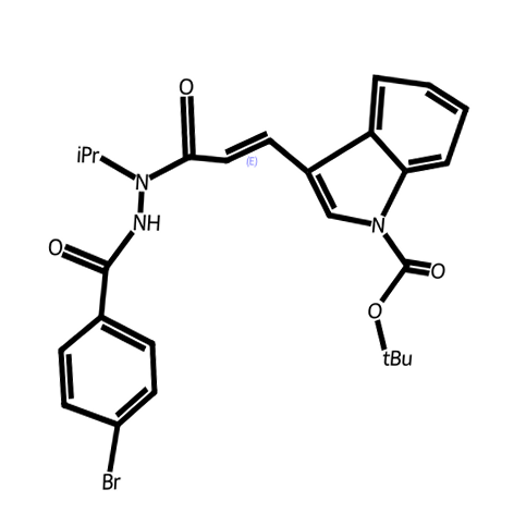 CC(C)N(NC(=O)c1ccc(Br)cc1)C(=O)/C=C/c1cn(C(=O)OC(C)(C)C)c2ccccc12